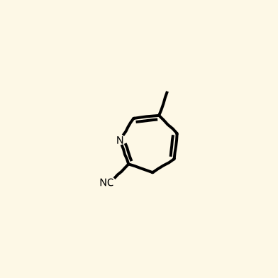 CC1=CN=C(C#N)CC=C1